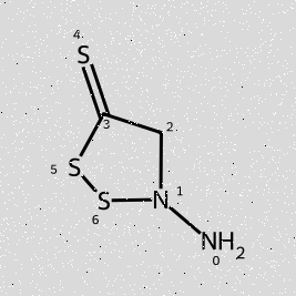 NN1CC(=S)SS1